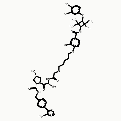 Cc1ncsc1-c1ccc(CNC(=O)[C@@H]2C[C@@H](O)CN2C(=O)[C@@H](NC(=O)COCCCCCNc2ccc(C(=O)NC3C(C)(C)C(Oc4ccc(C#N)c(Cl)c4)C3(C)C)cc2F)C(C)(C)C)cc1